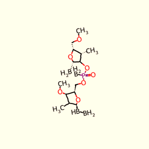 BB[C@@H]1O[C@H](COP(B)(=O)OC2[C@H](B)O[C@H](COC)[C@@H]2C)[C@H](OC)C1C